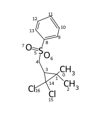 CC1(C)C(CS(=O)(=O)c2ccccc2)C1(Cl)Cl